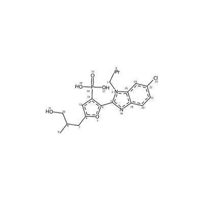 CC(C)Cn1c(-c2oc(CC(C)CO)cc2P(=O)(O)O)nc2ccc(Cl)cc21